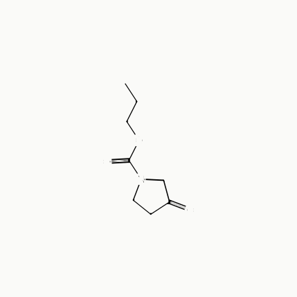 CCCOC(=O)N1CCC(=O)C1